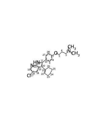 CN(C)CCCOc1ccc(-c2[nH]c3ncc(Cl)cc3c2C2=CCCCC2)cc1